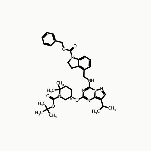 CC(C)c1cnn2c(NCc3cccc4c3CCN4C(=O)OCc3ccccc3)nc(O[C@@H]3CCC(C)(C)N(C(=O)OC(C)(C)C)C3)nc12